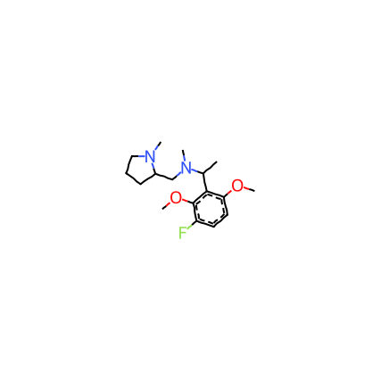 COc1ccc(F)c(OC)c1C(C)N(C)CC1CCCN1C